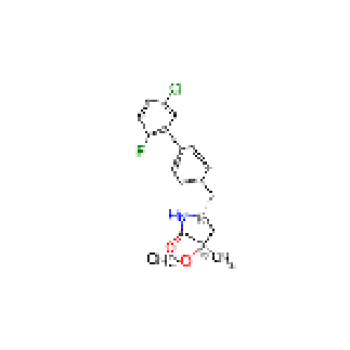 C[C@@]1(OC=O)C[C@@H](Cc2ccc(-c3cc(Cl)ccc3F)cc2)NC1=O